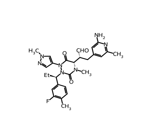 CC[C@H](c1ccc(C)c(F)c1)N1C(=O)N(C)[C@@H]([C@H](C=O)Cc2cc(C)nc(N)c2)C(=O)N1c1cnn(C)c1